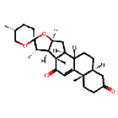 C[C@@H]1CC[C@@]2(OC1)O[C@H]1C[C@H]3[C@@H]4CC[C@H]5CC(=O)CC[C@]5(C)C4=CC(=O)[C@]3(C)[C@H]1[C@@H]2C